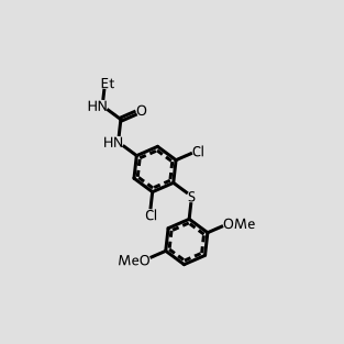 CCNC(=O)Nc1cc(Cl)c(Sc2cc(OC)ccc2OC)c(Cl)c1